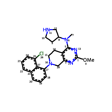 COc1nc2c(c(N(C)C3CCNC3)n1)CCN(c1cccc3cccc(Cl)c13)C2